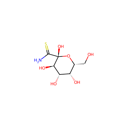 NC(=S)[C@]1(O)O[C@H](CO)[C@H](O)[C@H](O)[C@H]1O